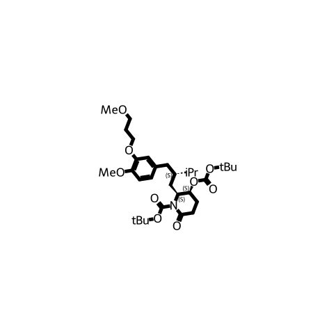 COCCCOc1cc(C[C@@H](C[C@H]2[C@@H](OC(=O)OC(C)(C)C)CCC(=O)N2C(=O)OC(C)(C)C)C(C)C)ccc1OC